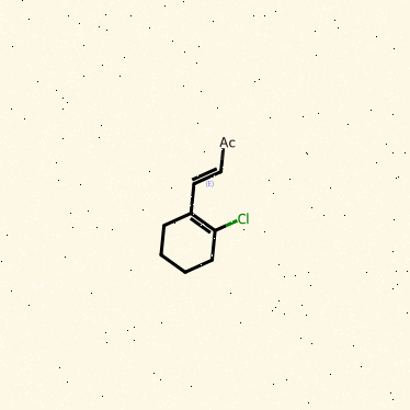 CC(=O)/C=C/C1=C(Cl)CCCC1